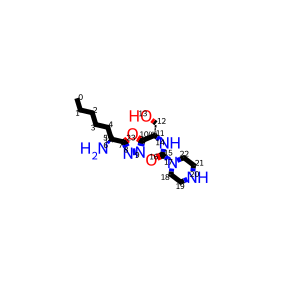 CCCCC[C@H](N)c1nnc([C@H](CO)NC(=O)N2CCNCC2)o1